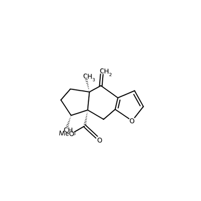 C=C1c2ccoc2C[C@@]2(C(=O)OC)[C@H](C)CC[C@@]12C